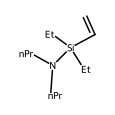 C=C[Si](CC)(CC)N(CCC)CCC